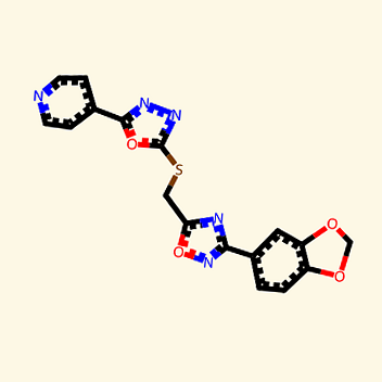 c1cc(-c2nnc(SCc3nc(-c4ccc5c(c4)OCO5)no3)o2)ccn1